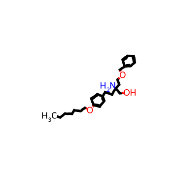 CCCCCCCOc1ccc(CCC(N)(CO)CCOCc2ccccc2)cc1